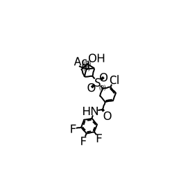 CC(=O)[C@@]1(O)CC2C(S(=O)(=O)[C@@H]3CC(C(=O)Nc4cc(F)c(F)c(F)c4)=CC=C3Cl)C1[C@H]2C